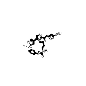 Cn1cc(-c2cnc3c(Cc4cc(C(C)(C)C)ns4)nc(CCNC(=O)OCc4ccccc4)cn23)cn1